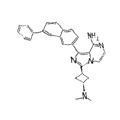 CN(C)[C@H]1C[C@@H](c2nc(-c3ccc4ccc(-c5ccccc5)cc4c3)c3c(N)nccn32)C1